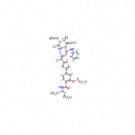 CCCCCC(C(=O)NCNC(=O)c1ccc(-c2ccc(C(=O)NC(CC(=O)O)C(=O)O)c(OCC(=O)O)c2)o1)C(CC)N(C=O)OC(=O)Nc1ccccc1